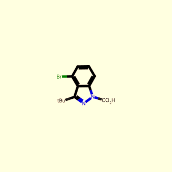 CC(C)(C)c1nn(C(=O)O)c2cccc(Br)c12